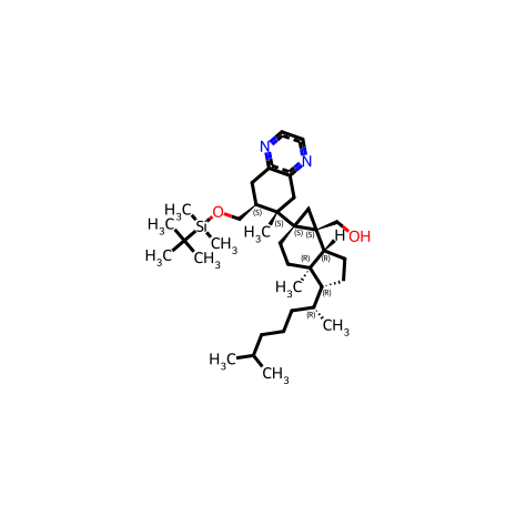 CC(C)CCC[C@@H](C)[C@H]1CC[C@@H]2[C@]1(C)CC[C@@]1([C@@]3(C)Cc4nccnc4C[C@@H]3CO[Si](C)(C)C(C)(C)C)C[C@]21CO